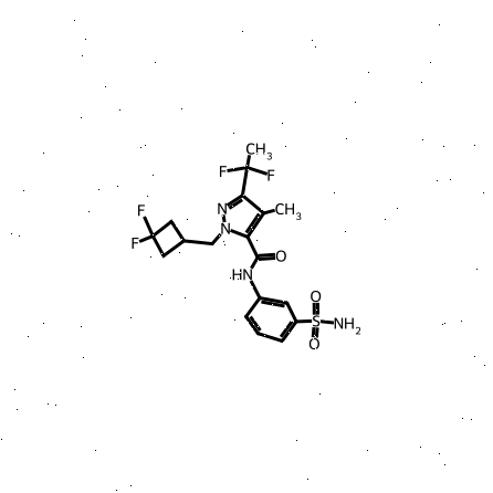 Cc1c(C(C)(F)F)nn(CC2CC(F)(F)C2)c1C(=O)Nc1cccc(S(N)(=O)=O)c1